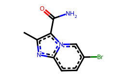 Cc1nc2ccc(Br)cn2c1C(N)=O